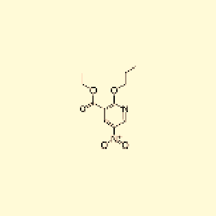 CCCOc1ncc([N+](=O)[O-])cc1C(=O)OCC